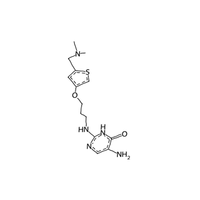 CN(C)Cc1cc(OCCCNc2ncc(N)c(=O)[nH]2)cs1